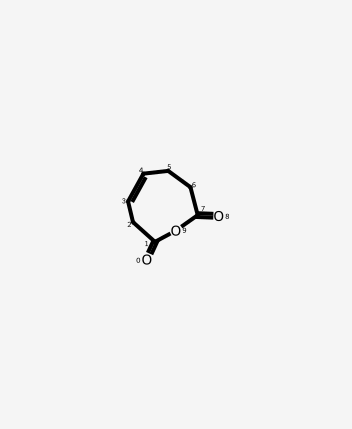 O=C1CC=CCCC(=O)O1